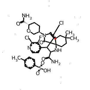 CC1(C)CCC2(CC1)NC(C(N)=O)C(c1ccnc(Cl)c1F)C21C(=O)N([C@@H]2CC[C@@H](C(N)=O)OC2)c2cc(Cl)ccc21.Cc1ccc(S(=O)(=O)O)cc1